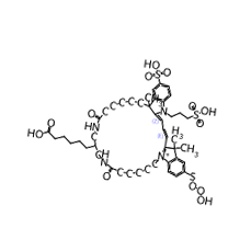 CC1(C)C2=[N+](CCCCCC(=O)NCC(CCCCCC(=O)O)CNC(=O)CCCCCC3(C)/C(=C/C=C/2)N(CCCS(=O)(=O)O)c2ccc(S(=O)(=O)O)cc23)c2ccc(SOOO)cc21